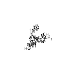 COc1c(C)cnc(Cn2nc3c4c(nc(NC(=O)O)nc42)SCC(CCN[C@@H]2CCOC2)=C3)c1C